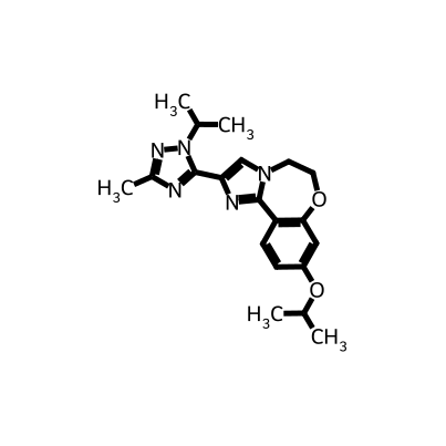 Cc1nc(-c2cn3c(n2)-c2ccc(OC(C)C)cc2OCC3)n(C(C)C)n1